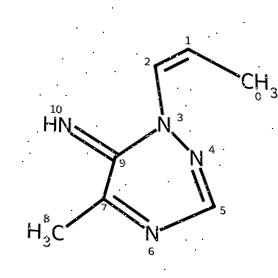 C/C=C\n1ncnc(C)c1=N